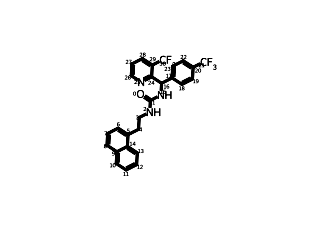 O=C(NCCc1cccc2ccccc12)NC(c1ccc(C(F)(F)F)cc1)c1ncccc1C(F)(F)F